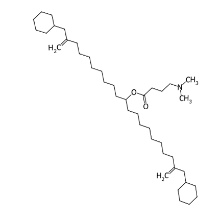 C=C(CCCCCCCCC(CCCCCCCCC(=C)CC1CCCCC1)OC(=O)CCCN(C)C)CC1CCCCC1